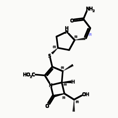 C[C@@H](O)[C@H]1C(=O)N2C(C(=O)O)=C(S[C@@H]3CN[C@H](/C=C\C(N)=O)C3)[C@H](C)[C@H]12